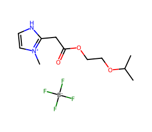 CC(C)OCCOC(=O)Cc1[nH]cc[n+]1C.F[B-](F)(F)F